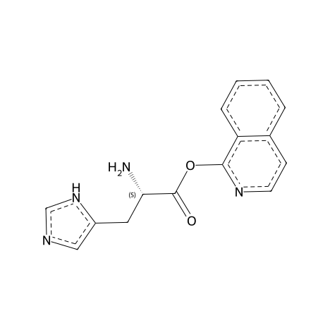 N[C@@H](Cc1cnc[nH]1)C(=O)Oc1nccc2ccccc12